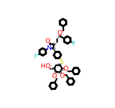 O=C1[C@H](CC[C@H](OCc2ccccc2)c2ccc(F)cc2)[C@@H](c2ccc(S[C@@H]3C[C@H](CO)[C@@H](OCc4ccccc4)[C@@H](OCc4ccccc4)[C@@H]3OCc3ccccc3)cc2)N1c1ccc(F)cc1